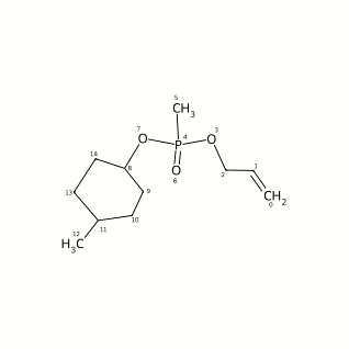 C=CCOP(C)(=O)OC1CCC(C)CC1